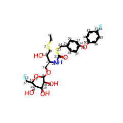 CCSC[C@@H](O)[C@H](COC1OC(CF)[C@@H](O)C(O)C1O)NC(=O)SCc1ccc(Oc2ccc(F)cc2)cc1